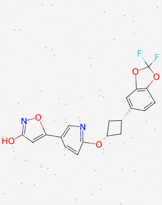 Oc1cc(-c2ccc(O[C@H]3C[C@@H](c4ccc5c(c4)OC(F)(F)O5)C3)nc2)on1